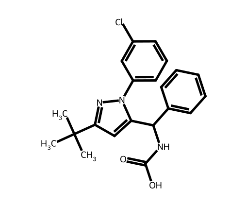 CC(C)(C)c1cc(C(NC(=O)O)c2ccccc2)n(-c2cccc(Cl)c2)n1